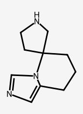 c1ncn2c1CCCC21CCNC1